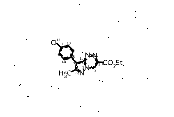 CCOC(=O)c1cn2nc(C)c(-c3ccc(Cl)cc3)c2nn1